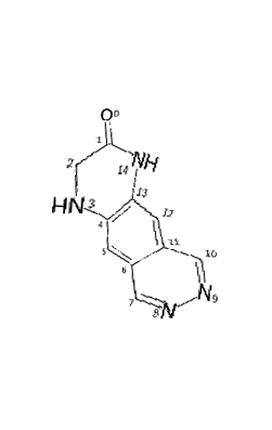 O=C1CNc2cc3cnncc3cc2N1